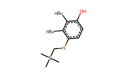 CCCCc1c(O)ccc(SC[Si](C)(C)C)c1CCCC